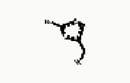 N#CCc1csc(Br)n1